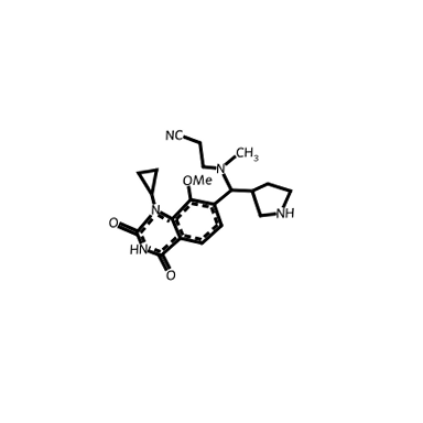 COc1c(C(C2CCNC2)N(C)CCC#N)ccc2c(=O)[nH]c(=O)n(C3CC3)c12